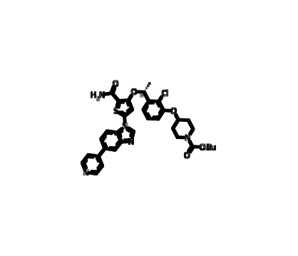 CC(C)COC(=O)N1CCC(Oc2cccc([C@@H](C)Oc3cc(-n4cnc5cc(-c6ccncc6)ccc54)sc3C(N)=O)c2Cl)CC1